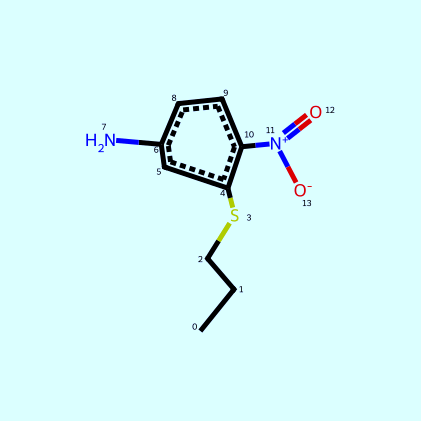 CCCSc1cc(N)ccc1[N+](=O)[O-]